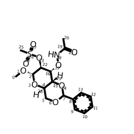 CO[C@H]1O[C@@H]2COC(c3ccccc3)O[C@H]2[C@@H](ONC(C)=O)[C@@H]1OS(C)(=O)=O